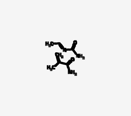 C=C(C)C(N)=O.CC=NC(N)=O